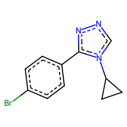 Brc1ccc(-c2nncn2C2CC2)cc1